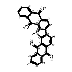 O=c1c2ccccc2c(=O)c2c1ccc1c3ccc4c(=O)c5ccccc5c(=O)c4c3[nH]c12